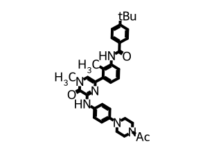 CC(=O)N1CCN(c2ccc(Nc3nc(-c4cccc(NC(=O)c5ccc(C(C)(C)C)cc5)c4C)cn(C)c3=O)cc2)CC1